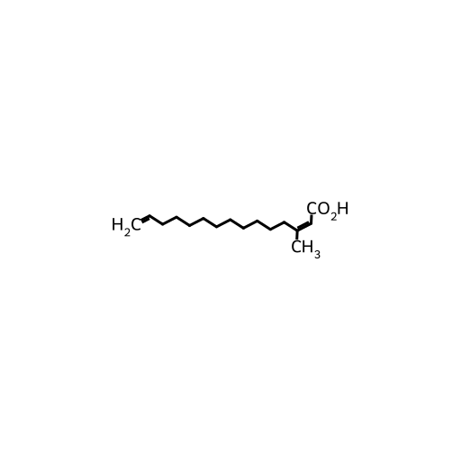 C=CCCCCCCCCCCC(C)=CC(=O)O